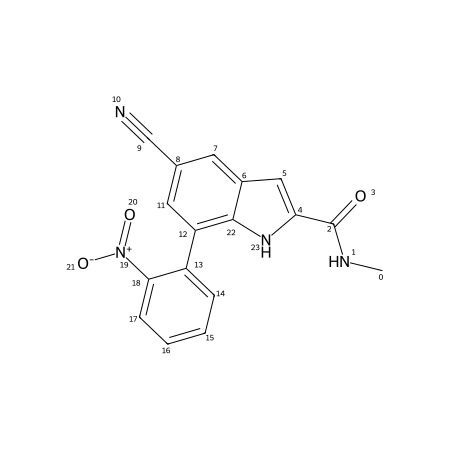 CNC(=O)c1cc2cc(C#N)cc(-c3ccccc3[N+](=O)[O-])c2[nH]1